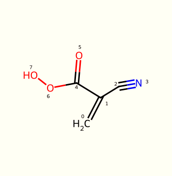 C=C(C#N)C(=O)OO